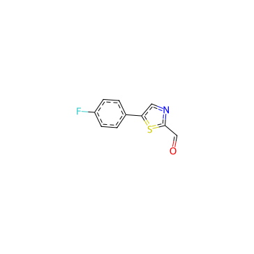 O=Cc1ncc(-c2ccc(F)cc2)s1